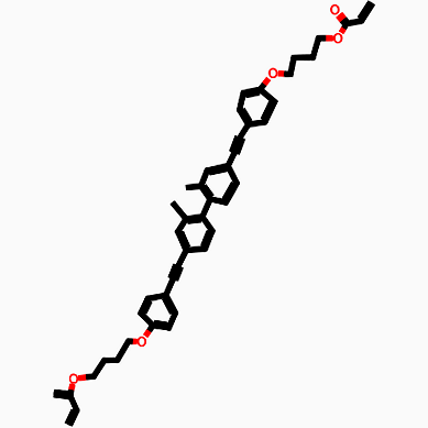 C=CC(=C)OCCCCOc1ccc(C#Cc2ccc(-c3ccc(C#Cc4ccc(OCCCCOC(=O)C=C)cc4)cc3C)c(C)c2)cc1